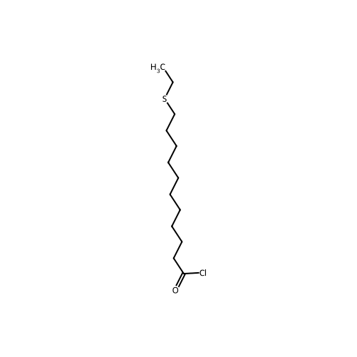 CCSCCCCCCCCCCC(=O)Cl